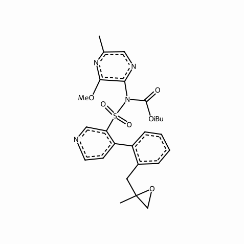 COc1nc(C)cnc1N(C(=O)OCC(C)C)S(=O)(=O)c1cnccc1-c1ccccc1CC1(C)CO1